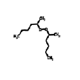 CCCCC(C)OOC(C)CCCC